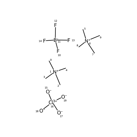 C[N+](C)(C)C.C[N+](C)(C)C.F[B-](F)(F)F.[O-][Cl+3]([O-])([O-])[O-]